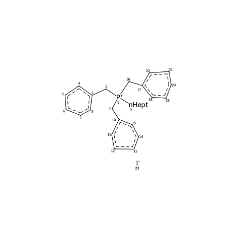 CCCCCCC[P+](Cc1ccccc1)(Cc1ccccc1)Cc1ccccc1.[I-]